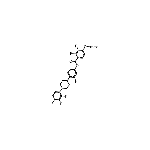 CCCCCCOc1ccc(C(=O)Oc2ccc(C3CCC(c4ccc(C)c(F)c4F)CC3)c(F)c2)c(F)c1F